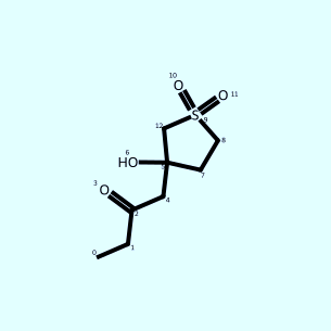 CCC(=O)CC1(O)CCS(=O)(=O)C1